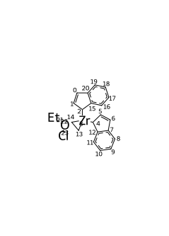 C1=C[CH]([Zr]2([CH]3C=Cc4ccccc43)[CH2][CH2]2)c2ccccc21.CCOCl